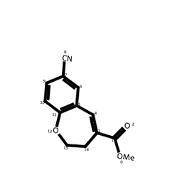 COC(=O)C1=Cc2cc(C#N)ccc2OCC1